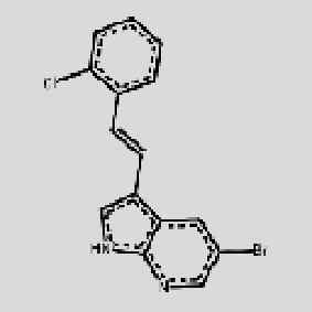 Clc1ccccc1C=Cc1c[nH]c2ncc(Br)cc12